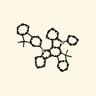 CC1(C)c2ccccc2-c2ccc(-n3c4ccccc4c4c5c(c6c(c7ccccc7n6-c6ccccc6)c43)C(C)(C)c3ccccc3-5)cc21